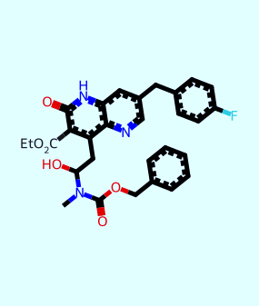 CCOC(=O)c1c(CC(O)N(C)C(=O)OCc2ccccc2)c2ncc(Cc3ccc(F)cc3)cc2[nH]c1=O